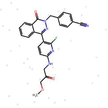 COCC(=O)CNc1ccc(-c2nn(Cc3ccc(C#N)cc3)c(=O)c3ccccc23)c(F)n1